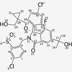 C[S+]([O-])c1cc(Cl)ccc1CN1C(=O)c2cc(C(C)(C)O)cc(F)c2[C@]1(OCC1(CO)CC1)c1ccc(Cl)cc1